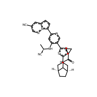 C[C@H](C#N)Nc1cc(-c2ccc3cc(C#N)cnn23)ncc1-c1nnc(N2C[C@H]3CC[C@@H](C2)C3NC(=O)C2CC2)s1